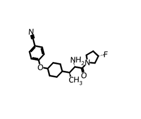 C[C@@H](C1CCC(Oc2ccc(C#N)cc2)CC1)[C@H](N)C(=O)N1CC[C@H](F)C1